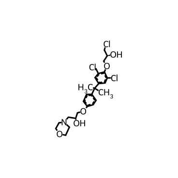 CC(C)(c1ccc(OC[C@@H](O)CN2CCOCC2)cc1)c1cc(Cl)c(OC[C@H](O)CCl)c(Cl)c1